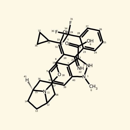 CN1NC(C(=O)O)c2ccc(N3C4CC[C@H]3CC(OC/C(C(=N)c3ccccc3C(F)(F)F)=C(/O)C3CC3)C4)cc21